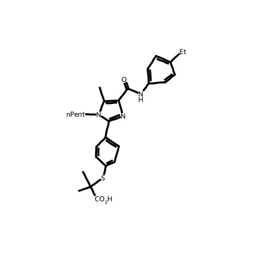 CCCCCn1c(-c2ccc(SC(C)(C)C(=O)O)cc2)nc(C(=O)Nc2ccc(CC)cc2)c1C